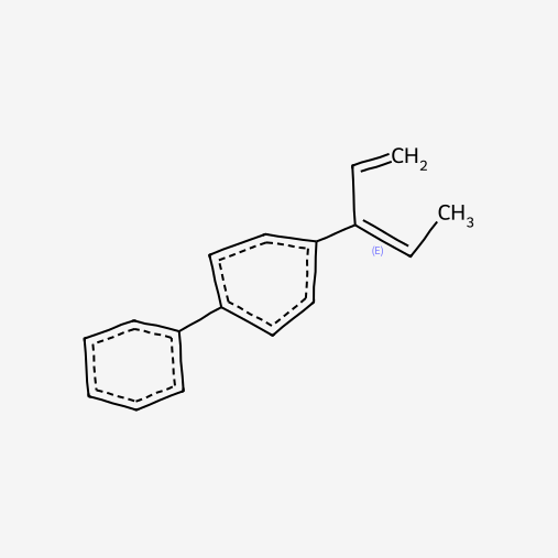 C=C/C(=C\C)c1ccc(-c2ccccc2)cc1